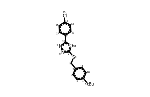 CC(C)(C)c1ccc(CSc2nnc(-c3ccc(Cl)cc3)o2)cc1